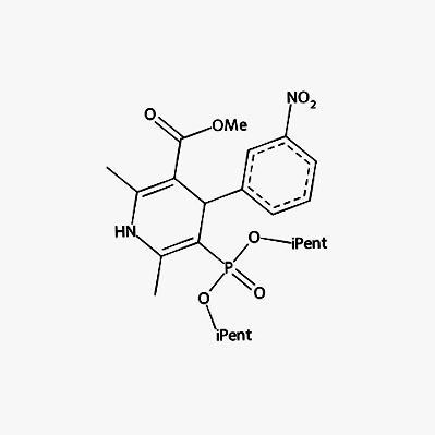 CCCC(C)OP(=O)(OC(C)CCC)C1=C(C)NC(C)=C(C(=O)OC)C1c1cccc([N+](=O)[O-])c1